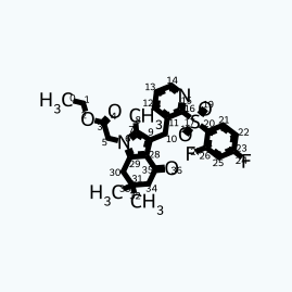 CCOC(=O)Cn1c(C)c(Cc2cccnc2S(=O)(=O)c2ccc(F)cc2F)c2c1CC(C)(C)CC2=O